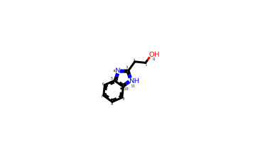 OCCc1nc2ccccc2[nH]1